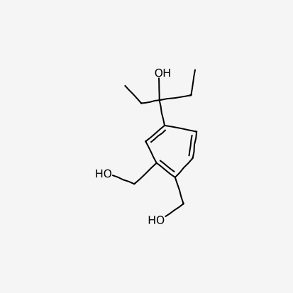 CCC(O)(CC)c1ccc(CO)c(CO)c1